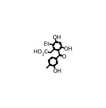 CCc1c(O)cc(O)c(C(=O)c2ccc(C)c(O)c2)c1CC(=O)O